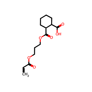 C=CC(=O)OCCCOC(=O)C1CCCCC1C(=O)O